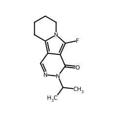 CC(C)n1ncc2c3n(c(F)c2c1=O)CCCC3